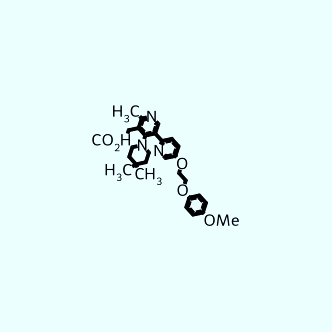 COc1ccc(OCCOc2ccc(-c3cnc(C)c(CC(=O)O)c3N3CCC(C)(C)CC3)nc2)cc1